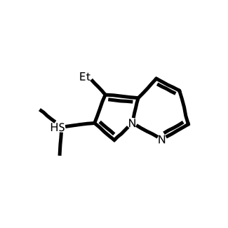 CCc1c([SH](C)C)cn2ncccc12